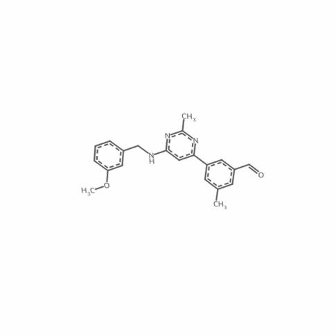 COc1cccc(CNc2cc(-c3cc(C)cc(C=O)c3)nc(C)n2)c1